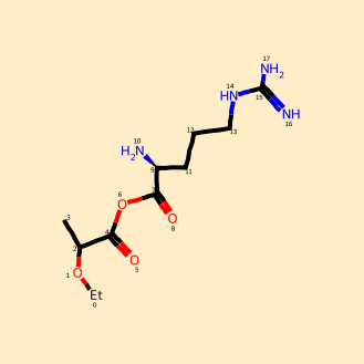 CCOC(C)C(=O)OC(=O)[C@@H](N)CCCNC(=N)N